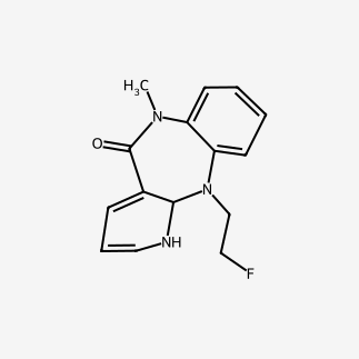 CN1C(=O)C2=CC=CNC2N(CCF)c2ccccc21